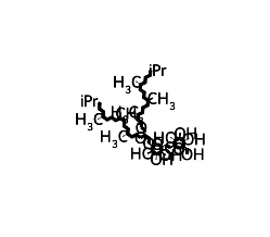 CC(C)CCC[C@@H](C)CCC[C@@H](C)CCC[C@@H](C)CCOC[C@H](CO[C@H]1O[C@H](CO[C@@H]2O[C@H](CO)[C@@H](O)[C@H](O)[C@H]2O)[C@@H](O)[C@H](O)[C@H]1O)OCC[C@H](C)CCC[C@H](C)CCC[C@H](C)CCCC(C)C